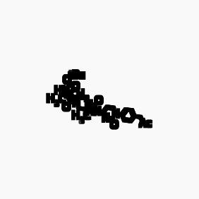 CC(=O)Cc1ccc(-n2ccc(NC(=O)N3CCN(C(=O)C(C)(C)NC(=O)OC(C)(C)C)C[C@H]3C)nc2=O)cc1